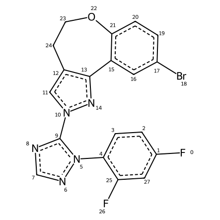 Fc1ccc(-n2ncnc2-n2cc3c(n2)-c2cc(Br)ccc2OCC3)c(F)c1